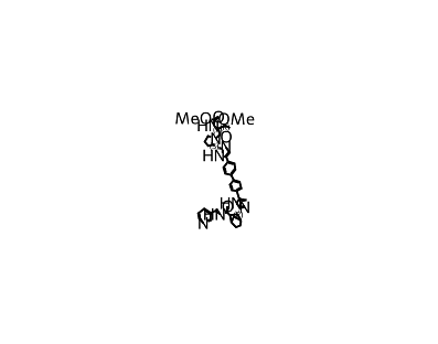 COC(=O)N[C@H](C(=O)N1CCC[C@H]1c1ncc(-c2ccc(-c3ccc(-c4cnc([C@@H]5C6CCC(C6)C5C(=O)NCc5cccnc5)[nH]4)cc3)cc2)[nH]1)[C@@H](C)OC